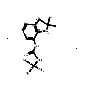 [2H]C([2H])([2H])NC(=O)Oc1cccc2c1OC(C)(C)C2